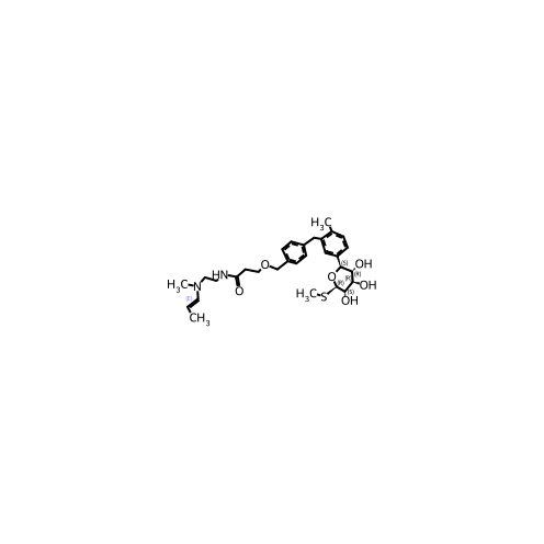 C/C=C/N(C)CCNC(=O)CCOCc1ccc(Cc2cc([C@@H]3O[C@H](SC)[C@@H](O)[C@H](O)[C@H]3O)ccc2C)cc1